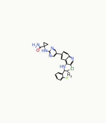 CC(Nc1c(Cl)cnc2ccc(-c3cnc(NC4(C(N)=O)CC4)nc3)cc12)c1ccccc1F